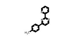 Cc1ccc(-c2ccnc(-c3ccccn3)n2)cc1